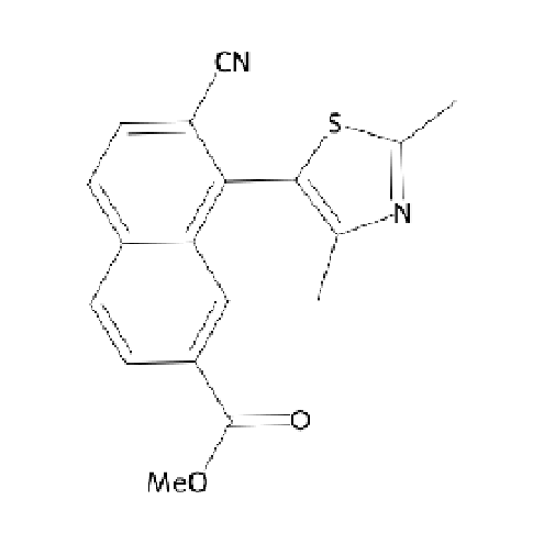 COC(=O)c1ccc2ccc(C#N)c(-c3sc(C)nc3C)c2c1